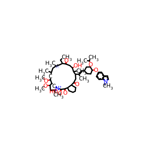 CCC1/C=C(\C)CC(C)CC(OC)C2C[N+](O)(C(=O)C(=O)C3CCCCC3C(=O)CC(C(C)=CC3CCC(Oc4ccc5c(ccn5C)c4)C(OC(C)C)C3)C(C)C(O)CC1=O)C(C)CC2OC